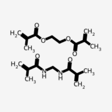 C=C(C)C(=O)NCNC(=O)C(=C)C.C=C(C)C(=O)OCCOC(=O)C(=C)C